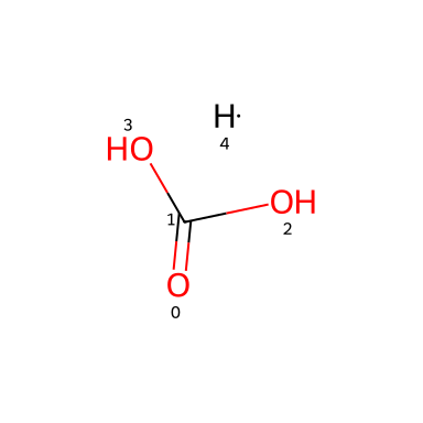 O=C(O)O.[H]